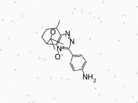 CC12CCC(c3c1nnc(-c1ccc(N)cc1)[n+]3[O-])C(C)(C)O2